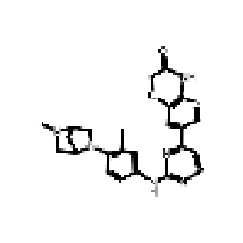 Cc1cc(Nc2nccc(-c3cnc4c(c3)OCC(=O)N4)n2)ccc1N1CC2CC1CN2C